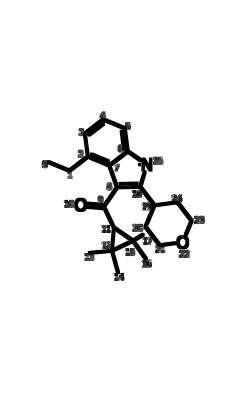 CCc1cccc2c1C(C(=O)C1C(C)(C)C1(C)C)=C(C1CCOCC1)[N]2